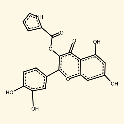 O=C(Oc1c(-c2ccc(O)c(O)c2)oc2cc(O)cc(O)c2c1=O)c1ccc[nH]1